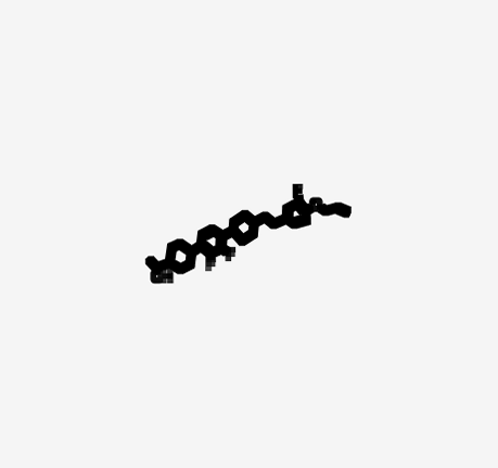 C=CCOc1ccc(CCC2CCC(c3ccc(C4CCC(C(C)O)CC4)c(F)c3F)CC2)cc1F